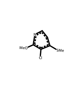 COc1nccc(SC)c1Cl